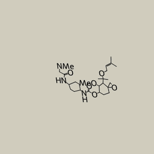 CNCC(=O)NC1CCC(NC(=O)OC2CCC3(CO3)C(C(C)(C)OCC=C(C)C)C2OC)CC1